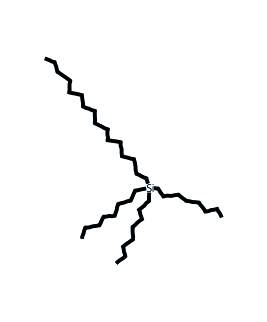 CCCCCCCCCCCCCCCC[Si](CCCCCCCC)(CCCCCCCC)CCCCCCCC